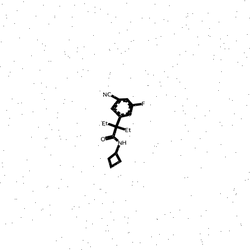 CCC(CC)(C(=O)NC1CCC1)c1cc(F)cc(C#N)c1